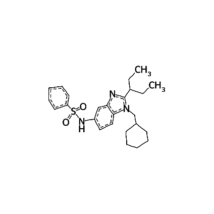 CCC(CC)c1nc2cc(NS(=O)(=O)c3ccccc3)ccc2n1CC1CCCCC1